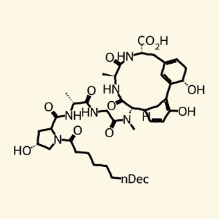 CCCCCCCCCCCCCCCC(=O)N1C[C@H](O)CC1C(=O)N[C@H](C)C(=O)NCC(=O)N(C)[C@@H]1C(=O)N[C@@H](C)C(=O)N[C@H](C(=O)O)CC2=CC[C@H](O)C(=C2)C2=C(O)C=C[C@H]1C2